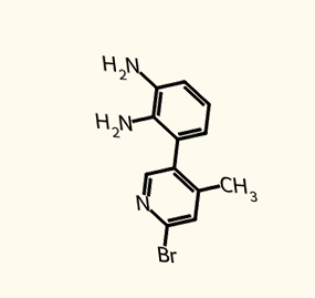 Cc1cc(Br)ncc1-c1cccc(N)c1N